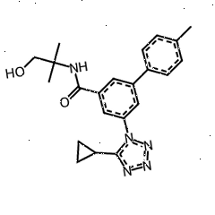 Cc1ccc(-c2cc(C(=O)NC(C)(C)CO)cc(-n3nnnc3C3CC3)c2)cc1